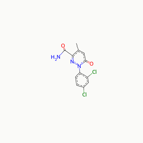 Cc1cc(=O)n(-c2ccc(Cl)cc2Cl)nc1C(N)=O